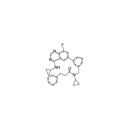 O=C(CCc1ccccc1)N(Cc1cccc(-c2cc(F)c3ncnc(NC4CC4)c3c2)c1)C1CC1